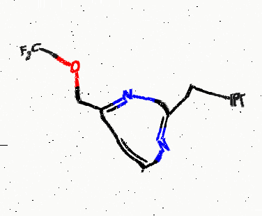 CC(C)Cc1n[c]cc(COC(F)(F)F)n1